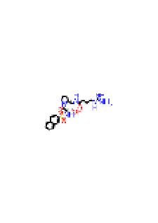 N=C(N)NCCCC(=O)NC[C@@H]1CCCN1C(=O)[C@H](CO)NS(=O)(=O)c1ccc2ccccc2c1